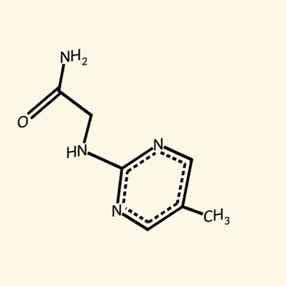 Cc1cnc(NCC(N)=O)nc1